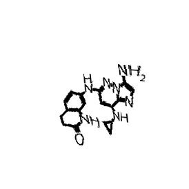 Nc1cnc2c(NC3CC3)cc(Nc3ccc4c(c3)NC(=O)CC4)nn12